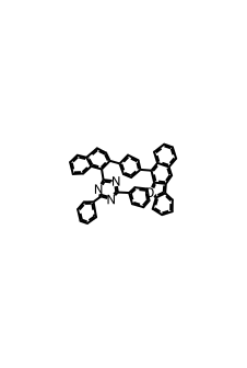 c1ccc(-c2nc(-c3ccccc3)nc(-c3c(-c4ccc(-c5c6ccccc6cc6c5oc5ccccc56)cc4)ccc4ccccc34)n2)cc1